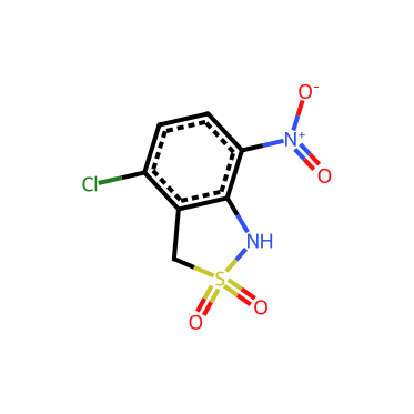 O=[N+]([O-])c1ccc(Cl)c2c1NS(=O)(=O)C2